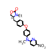 CCN1C(=O)OC[C@@H]1Cc1ccc(Oc2ccc(N(C)c3ccc([N+](=O)[O-])cn3)cc2)cc1